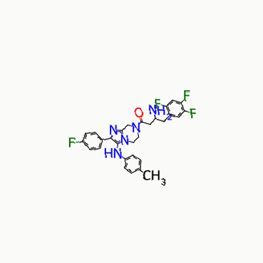 Cc1ccc(Nc2c(-c3ccc(F)cc3)nc3n2CCN(C(=O)C[C@@H](N)Cc2cc(F)c(F)cc2F)C3)cc1